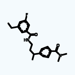 CCc1cc(F)cc(C(=O)NCCC(C)c2ccc(C(=O)N(C)C)cc2)c1